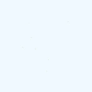 COc1cc(C2C[N]C2)ccc1Nc1ncc(Cl)c(-c2cnc3ccccn23)n1